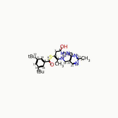 CC(=C(CCO)SC(=O)c1cc(C(C)(C)C)cc(C(C)(C)C)c1)N(C=O)Cc1cnc(C)nc1N